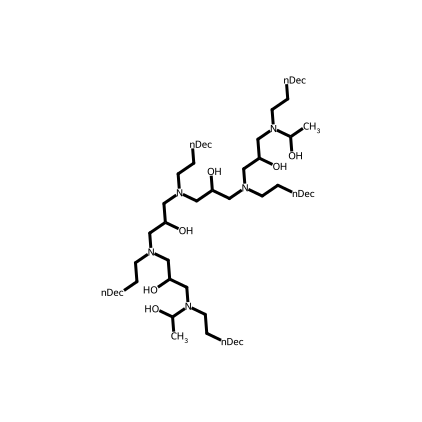 CCCCCCCCCCCCN(CC(O)CN(CCCCCCCCCCCC)CC(O)CN(CCCCCCCCCCCC)C(C)O)CC(O)CN(CCCCCCCCCCCC)CC(O)CN(CCCCCCCCCCCC)C(C)O